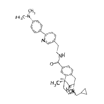 C[C@H]1C2Cc3ccc(C(=O)NCCc4ccc(-c5ccc(N(C)C)cc5)nc4)cc3[C@@]1(C)CCN2CC1CC1